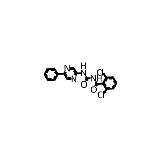 O=C(NC(=O)c1c(Cl)cccc1Cl)Nc1cnc(-c2ccccc2)cn1